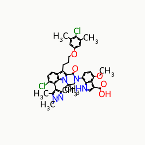 COc1ccc(N2C[C@@H](C)n3c(c(CCCOc4cc(C)c(Cl)c(C)c4)c4ccc(Cl)c(-c5c(C)nn(C)c5C)c43)C2=O)c2[nH]cc(C(=O)O)c12